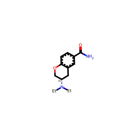 CCN(CC)[C@@H]1COc2ccc(C(N)=O)cc2C1